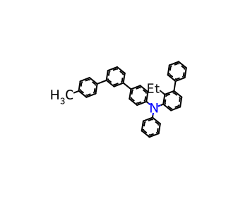 CCc1c(-c2ccccc2)cccc1N(c1ccccc1)c1ccc(-c2cccc(-c3ccc(C)cc3)c2)cc1